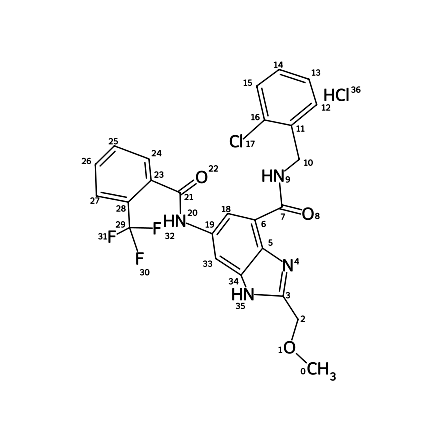 COCc1nc2c(C(=O)NCc3ccccc3Cl)cc(NC(=O)c3ccccc3C(F)(F)F)cc2[nH]1.Cl